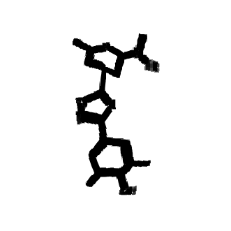 CCN(C)c1cc(-c2nc(-c3cc(C)c(O)c(C)c3)no2)cc(C)n1